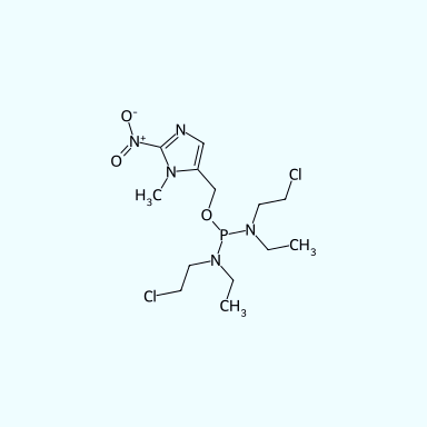 CCN(CCCl)P(OCc1cnc([N+](=O)[O-])n1C)N(CC)CCCl